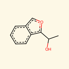 CC(O)c1occ2ccccc12